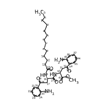 CCCCCCCCCCCCCC(=O)NC(CC(=O)c1ccccc1N)C(=O)NC(CC(=O)c1ccccc1N)C(=O)OC